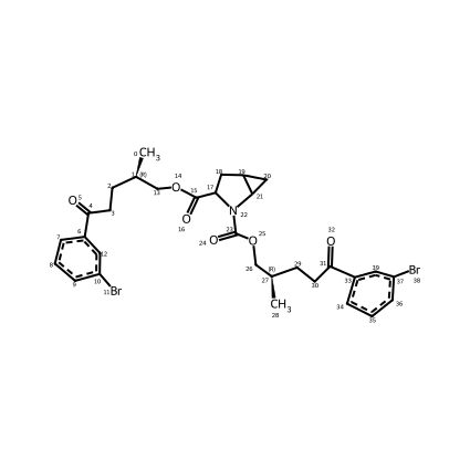 C[C@H](CCC(=O)c1cccc(Br)c1)COC(=O)C1CC2CC2N1C(=O)OC[C@H](C)CCC(=O)c1cccc(Br)c1